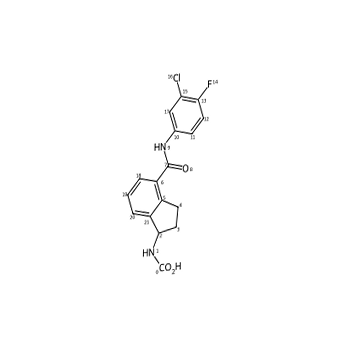 O=C(O)NC1CCc2c(C(=O)Nc3ccc(F)c(Cl)c3)cccc21